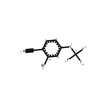 N#Cc1ccc(SC(F)(F)F)cc1Br